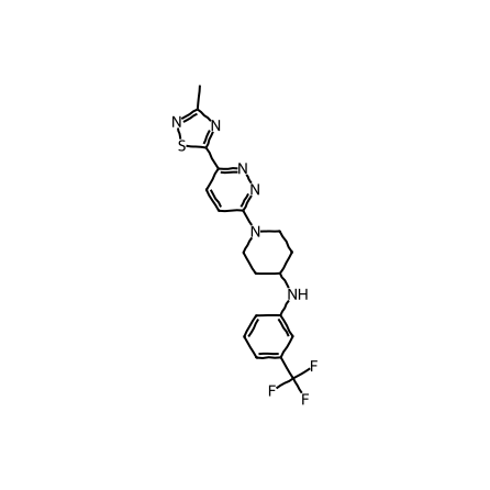 Cc1nsc(-c2ccc(N3CCC(Nc4cccc(C(F)(F)F)c4)CC3)nn2)n1